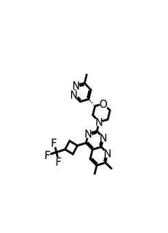 Cc1cc([C@H]2CN(c3nc(C4CC(C(F)(F)F)C4)c4cc(C)c(C)nc4n3)CCO2)cnn1